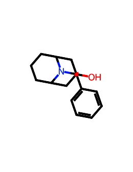 OC1CC2CCCC(C1)N2Cc1ccccc1